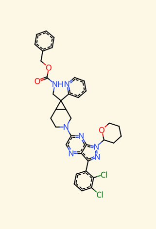 O=C(NCC1(c2ccccn2)C2CCN(c3cnc4c(-c5cccc(Cl)c5Cl)nn(C5CCCCO5)c4n3)CC21)OCc1ccccc1